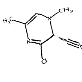 CC1=CN(C)[C@H](C#N)C(Cl)=N1